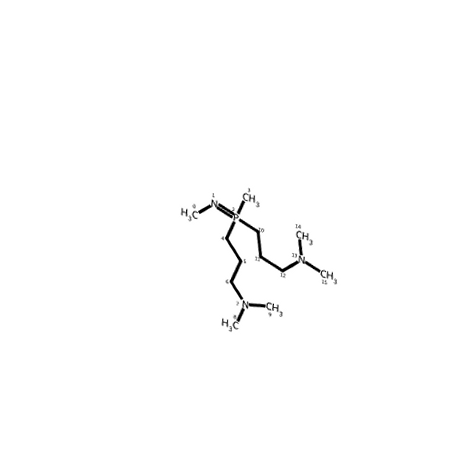 CN=P(C)(CCCN(C)C)CCCN(C)C